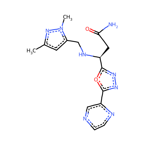 Cc1cc(CN[C@@H](CC(N)=O)c2nnc(-c3cnccn3)o2)n(C)n1